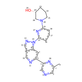 Cc1cncc(-c2cc3c(cn2)cnn3-c2cccc(N3CCC[C@@H](O)C3)n2)n1